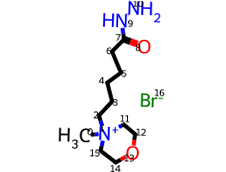 C[N+]1(CCCCCC(=O)NN)CCOCC1.[Br-]